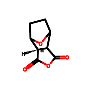 O=C1OC(=O)[C@H]2C3CCC(O3)C12